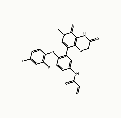 C=CC(=O)Nc1ccc(Oc2ccc(F)cc2F)c(-c2cn(C)c(=O)c3c2OCC(=O)N3)c1